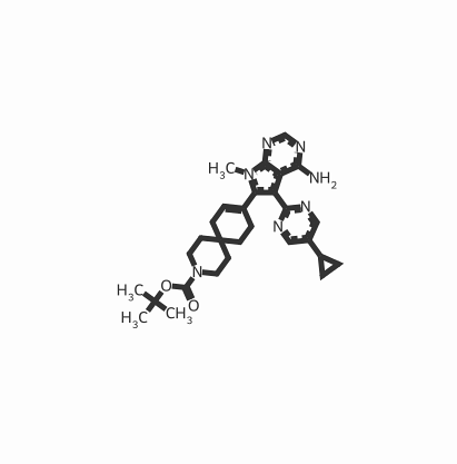 Cn1c(C2=CCC3(CC2)CCN(C(=O)OC(C)(C)C)CC3)c(-c2ncc(C3CC3)cn2)c2c(N)ncnc21